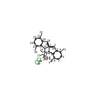 CC1=Cc2c(C)ccc(C)c2[CH]1[Zr+2]([CH3])([CH3])(=[SiH2])[CH]1C(C)=Cc2c(C)ccc(C)c21.[Cl-].[Cl-]